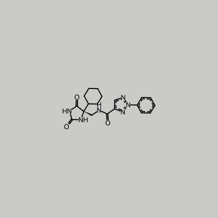 O=C1NC(=O)[C@](CNC(=O)c2cnn(-c3ccccc3)n2)(C2CCCCC2)N1